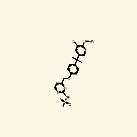 CCCOc1ncc(C(C)(C)c2ccc(OCc3ccnc(NS(C)(=O)=O)n3)cc2)cc1Cl